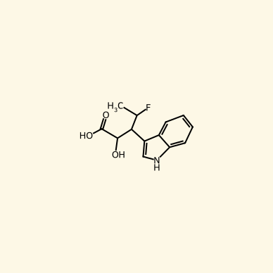 CC(F)C(c1c[nH]c2ccccc12)C(O)C(=O)O